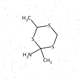 CC1SCSC(C)(N)S1